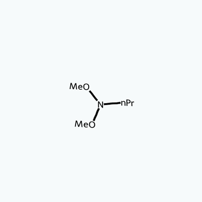 CCCN(OC)OC